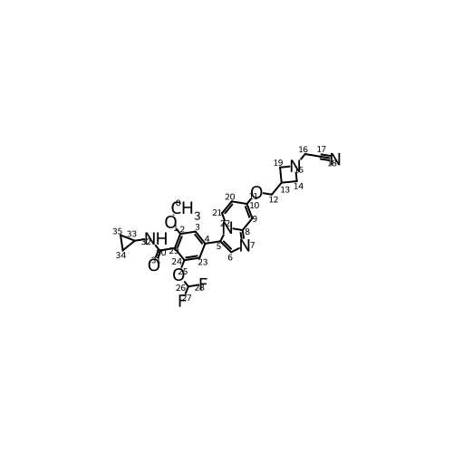 COc1cc(-c2cnc3cc(OCC4CN(CC#N)C4)ccn23)cc(OC(F)F)c1C(=O)NC1CC1